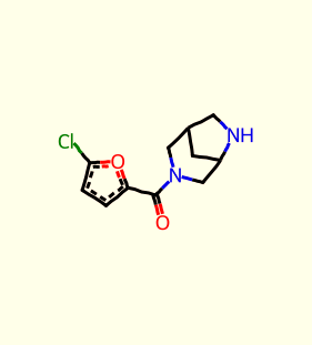 O=C(c1ccc(Cl)o1)N1CC2CNC(C2)C1